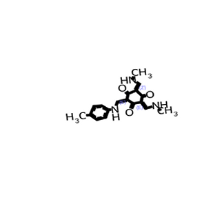 CN/C=C1/C(=O)/C(=C\NC)C(=O)/C(=C\Nc2ccc(C)cc2)C1=O